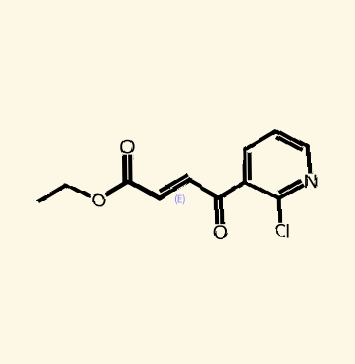 CCOC(=O)/C=C/C(=O)c1cccnc1Cl